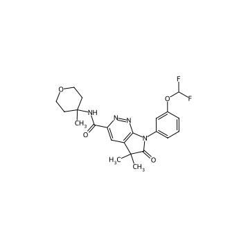 CC1(NC(=O)c2cc3c(nn2)N(c2cccc(OC(F)F)c2)C(=O)C3(C)C)CCOCC1